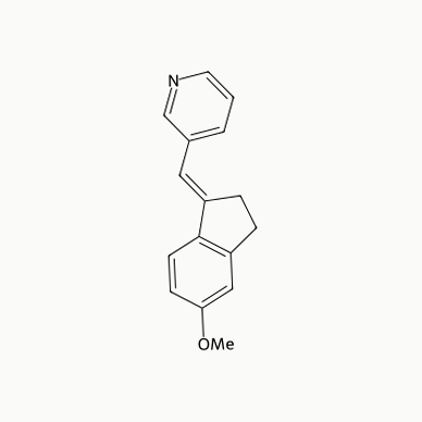 COc1ccc2c(c1)CCC2=Cc1cccnc1